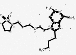 CCCCc1nc2c(N)nc(C)cc2n1CCOCCCN1CCCS1(=O)=O